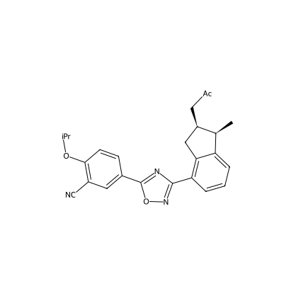 CC(=O)C[C@@H]1Cc2c(-c3noc(-c4ccc(OC(C)C)c(C#N)c4)n3)cccc2[C@@H]1C